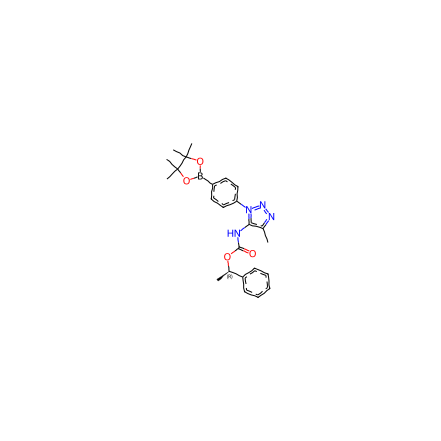 Cc1nnn(-c2ccc(B3OC(C)(C)C(C)(C)O3)cc2)c1NC(=O)O[C@H](C)c1ccccc1